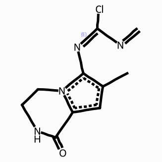 C=N/C(Cl)=N\c1c(C)cc2n1CCNC2=O